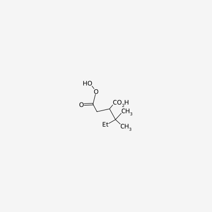 CCC(C)(C)C(CC(=O)OO)C(=O)O